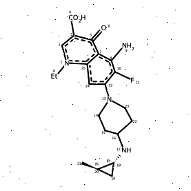 CCn1cc(C(=O)O)c(=O)c2c(N)c(F)c(N3CCC(N[C@@H]4C[C@H]4C)CC3)cc21